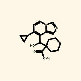 COC(=O)C1(C(O)c2c(C3CC3)ccn3cncc23)CCCCC1